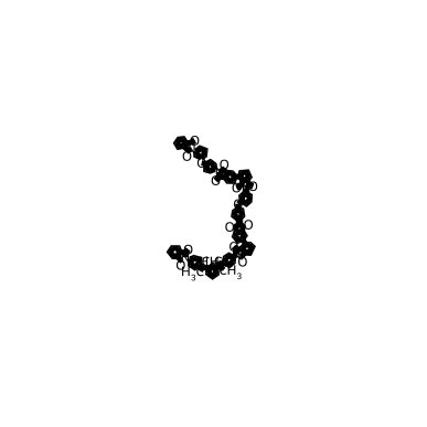 CC(C)(c1ccc(N2C(=O)c3ccccc3C2=O)cc1)c1cccc(C(C)(C)c2ccc(N3C(=O)c4cccc(-c5ccc6c(c5)C(=O)N(c5ccc(Oc7cccc(N8C(=O)c9cccc(-c%10ccc%11c(c%10)C(=O)N(c%10ccc(Oc%12cccc(N%13C(=O)c%14ccccc%14C%13=O)c%12)cc%10)C%11=O)c9C8=O)c7)cc5)C6=O)c4C3=O)cc2)c1